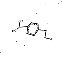 OB(O)c1ccc(CCF)cc1